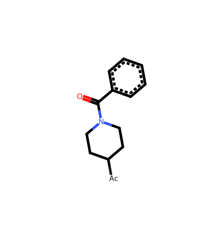 CC(=O)C1CCN(C(=O)c2ccccc2)CC1